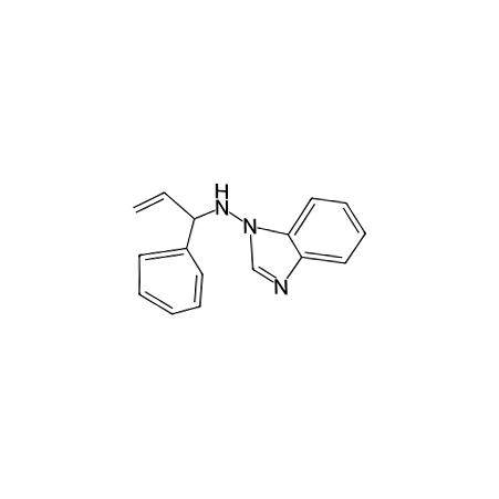 C=CC(Nn1cnc2ccccc21)c1ccccc1